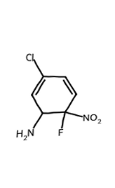 NC1C=C(Cl)C=CC1(F)[N+](=O)[O-]